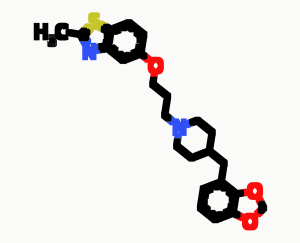 Cc1nc2cc(OCCCN3CCC(Cc4cccc5c4OCO5)CC3)ccc2s1